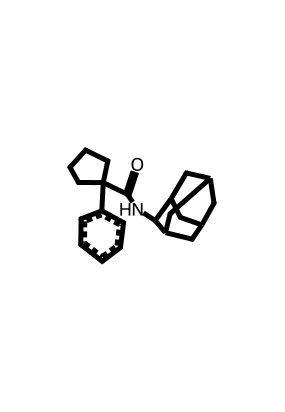 O=C(NC1C2CC3CC(C2)CC1C3)C1(c2ccccc2)CCCC1